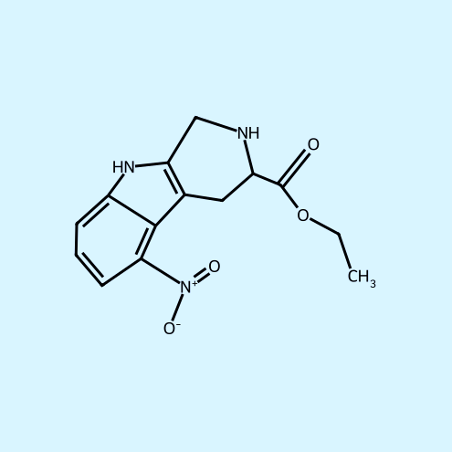 CCOC(=O)C1Cc2c([nH]c3cccc([N+](=O)[O-])c23)CN1